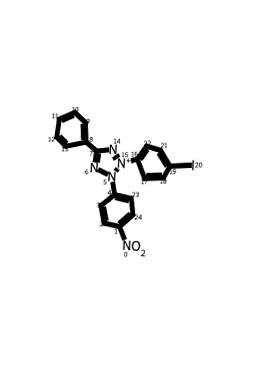 O=[N+]([O-])c1ccc(-n2nc(-c3ccccc3)n[n+]2-c2ccc(I)cc2)cc1